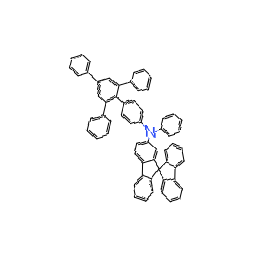 c1ccc(-c2cc(-c3ccccc3)c(-c3ccc(N(c4ccccc4)c4ccc5c(c4)C4(c6ccccc6-c6ccccc64)c4ccccc4-5)cc3)c(-c3ccccc3)c2)cc1